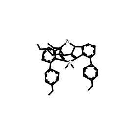 CCCCC1=C2c3c(-c4ccc(CC)cc4)cccc3[CH]1[Zr][CH]1C(CCCC)=C(c3c(-c4ccc(CC)cc4)cccc31)[Si]2(C)C